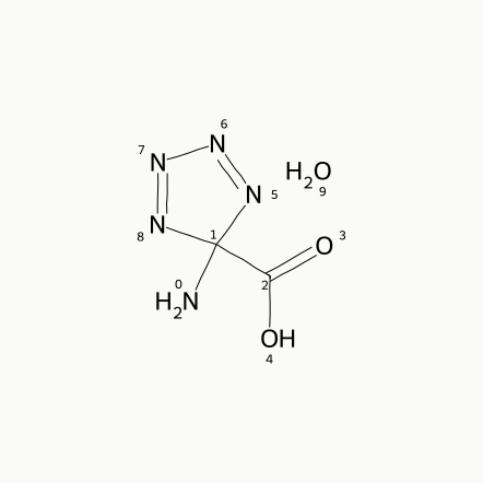 NC1(C(=O)O)N=NN=N1.O